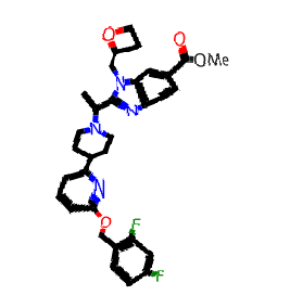 COC(=O)c1ccc2nc(C(C)N3CCC(c4cccc(OCc5ccc(F)cc5F)n4)CC3)n(C[C@@H]3CCO3)c2c1